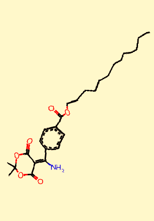 CCCCCCCCCCCCOC(=O)c1ccc(C(N)=C2C(=O)OC(C)(C)OC2=O)cc1